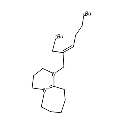 CC(C)(C)CCC=C(CN1CCC[N+]2=C1CCCCC2)CC(C)(C)C